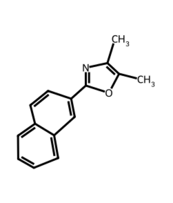 Cc1nc(-c2ccc3ccccc3c2)oc1C